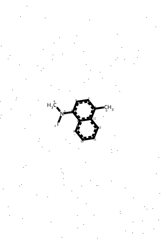 Cc1ccc(N(C)I)c2ccccc12